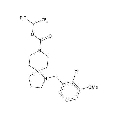 COc1cccc(CN2CCCC23CCN(C(=O)OC(C(F)(F)F)C(F)(F)F)CC3)c1Cl